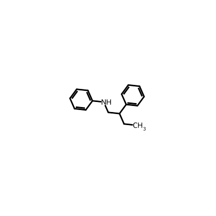 CCC(CNc1ccccc1)c1ccccc1